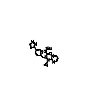 CC(C)(C)OC(=O)N(Cc1ccc(-c2nncs2)cn1)N(c1ncccn1)C1CC1